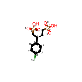 O=S(=O)(O)CC[C@H](CS(=O)(=O)O)c1ccc(F)cc1